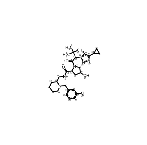 CC(C)(C)[C@H](C(=O)N1CC(O)CC1C(=O)NCC1CCCCN1Cc1cccc(Cl)c1)n1cc(C2CC2)nn1